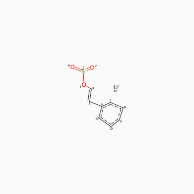 O=[S-](=O)OC=Cc1ccccc1.[Li+]